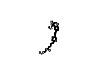 CCOC(=O)CCCCc1cnc(C#Cc2ccc3c(c2)C(C)(C)CCO3)cn1